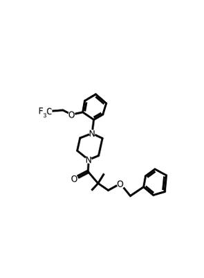 CC(C)(COCc1ccccc1)C(=O)N1CCN(c2ccccc2OCC(F)(F)F)CC1